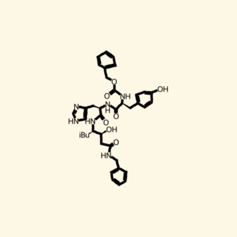 CCC(C)[C@H](NC(=O)[C@@H](Cc1c[nH]cn1)NC(=O)[C@H](Cc1ccc(O)cc1)NC(=O)OCc1ccccc1)[C@@H](O)CC(=O)NCc1ccccc1